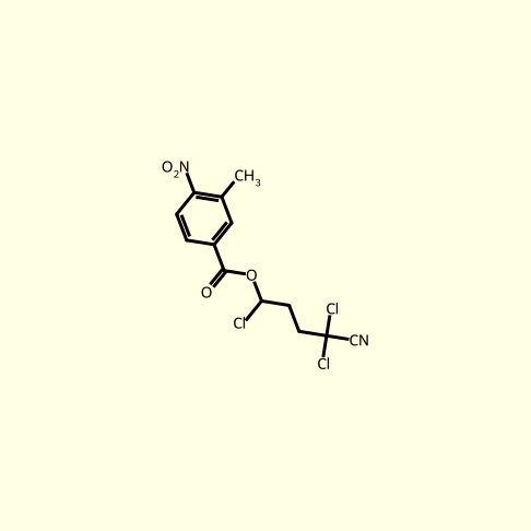 Cc1cc(C(=O)OC(Cl)CCC(Cl)(Cl)C#N)ccc1[N+](=O)[O-]